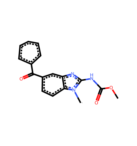 [CH2]n1c(NC(=O)OC)nc2cc(C(=O)c3ccccc3)ccc21